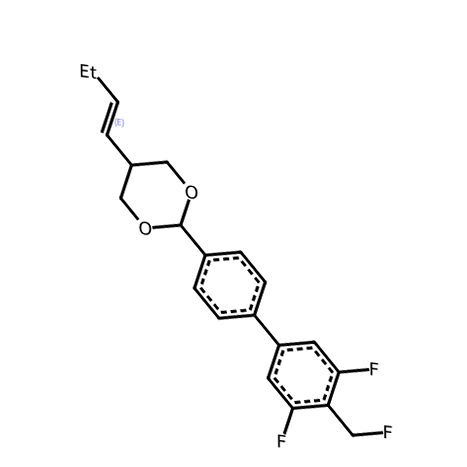 CC/C=C/C1COC(c2ccc(-c3cc(F)c(CF)c(F)c3)cc2)OC1